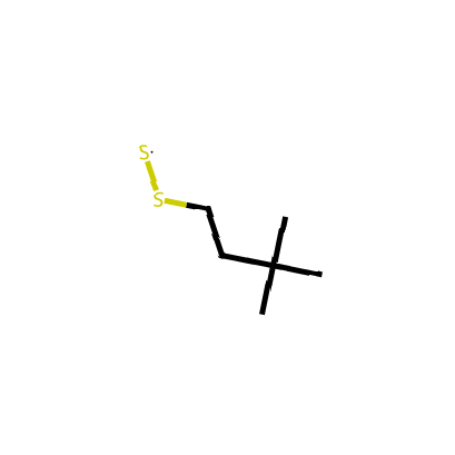 CC(C)(C)CCS[S]